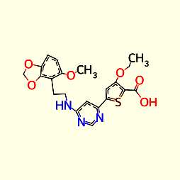 CCOc1cc(-c2cc(NCCc3c(OC)ccc4c3OCO4)ncn2)sc1C(=O)O